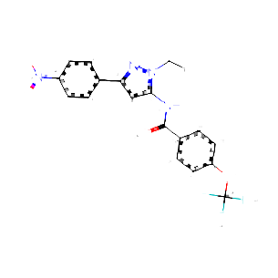 CCn1nc(-c2ccc([N+](=O)[O-])cc2)cc1NC(=O)c1ccc(OC(F)(F)F)cc1